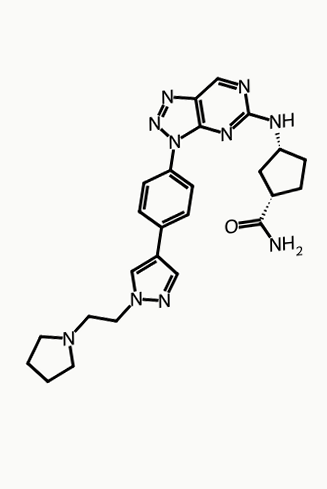 NC(=O)[C@H]1CC[C@@H](Nc2ncc3nnn(-c4ccc(-c5cnn(CCN6CCCC6)c5)cc4)c3n2)C1